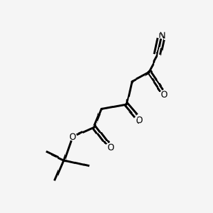 CC(C)(C)OC(=O)CC(=O)CC(=O)C#N